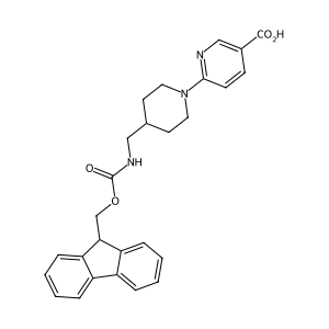 O=C(NCC1CCN(c2ccc(C(=O)O)cn2)CC1)OCC1c2ccccc2-c2ccccc21